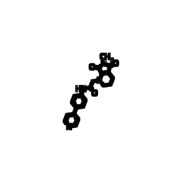 CN1C(=O)C2=C(C1=O)N(CC(=O)Nc1ccc(-c3ccncc3)cc1)CCC2